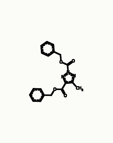 Cc1nn(C(=O)OCc2ccccc2)nc1C(=O)OCc1ccccc1